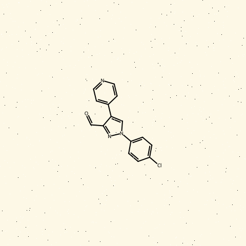 O=Cc1nn(-c2ccc(Cl)cc2)cc1-c1ccncc1